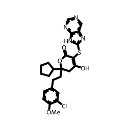 COc1ccc(CCC2(C3CCCC3)CC(O)=C(Sc3nc4cncnc4[nH]3)C(=O)O2)cc1Cl